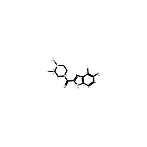 CC(=O)N1CCN(C(=O)c2cc3c(Cl)c(Cl)ccc3[nH]2)C[C@H]1C